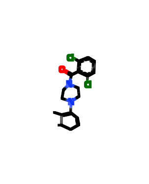 CC1=C(N2CCN(C(=O)c3c(Cl)cccc3Cl)CC2)C=CC[CH]1